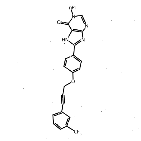 CCCn1cnc2nc(-c3ccc(OCC#Cc4cccc(C(F)(F)F)c4)cc3)[nH]c2c1=O